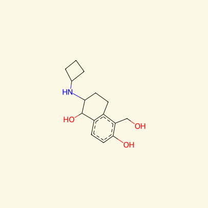 OCc1c(O)ccc2c1CCC(NC1CCC1)C2O